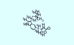 [2H]c1[nH]c2ccc(C([2H])([2H])[C@@H]3NC(=O)OC3([2H])[2H])cc2c1C([2H])([2H])CN(C)C([2H])([2H])[2H]